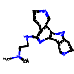 CN(C)CCNc1nc2c3cnccc3[nH]c2c2cnccc12